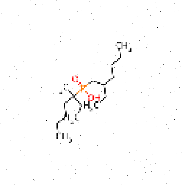 CCCCC(CC)CP(=O)(O)C(C)(CC)CCCC